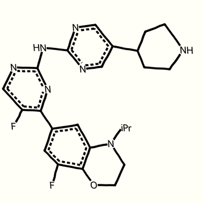 CC(C)N1CCOc2c(F)cc(-c3nc(Nc4ncc(C5CCNCC5)cn4)ncc3F)cc21